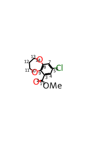 COC(=O)c1cc(Cl)cc2c1OCCCO2